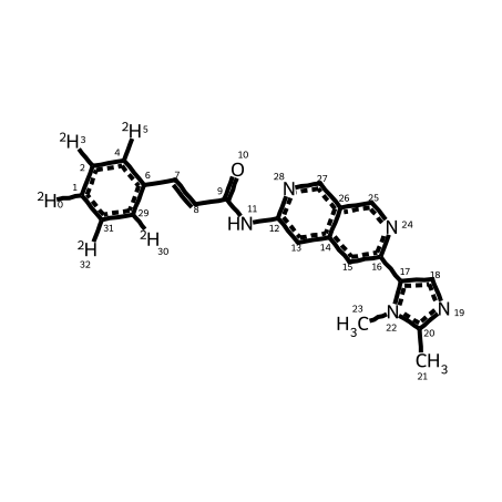 [2H]c1c([2H])c([2H])c(/C=C/C(=O)Nc2cc3cc(-c4cnc(C)n4C)ncc3cn2)c([2H])c1[2H]